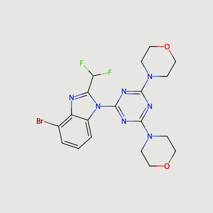 FC(F)c1nc2c(Br)cccc2n1-c1nc(N2CCOCC2)nc(N2CCOCC2)n1